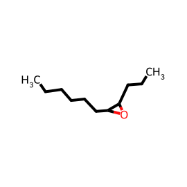 CCCCCCC1OC1CCC